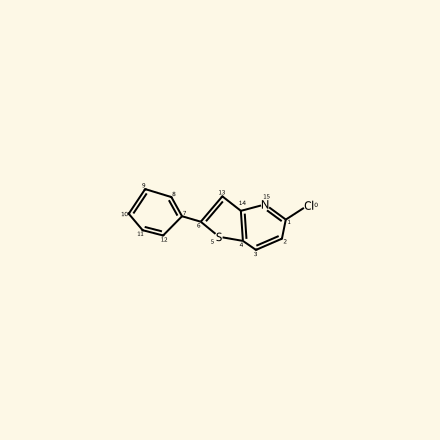 Clc1ccc2sc(-c3ccccc3)cc2n1